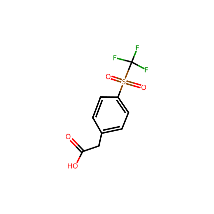 O=C(O)Cc1ccc(S(=O)(=O)C(F)(F)F)cc1